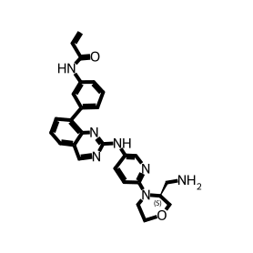 C=CC(=O)Nc1cccc(-c2cccc3cnc(Nc4ccc(N5CCOC[C@@H]5CN)nc4)nc23)c1